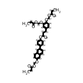 C=CC(=O)OCOc1ccc2cc(-c3ccc(OC(=O)CCc4ccc(OCOC(=O)C=C)c(OCOC(=O)C=C)c4)cc3)ccc2c1